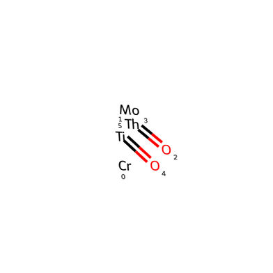 [Cr].[Mo].[O]=[Th].[O]=[Ti]